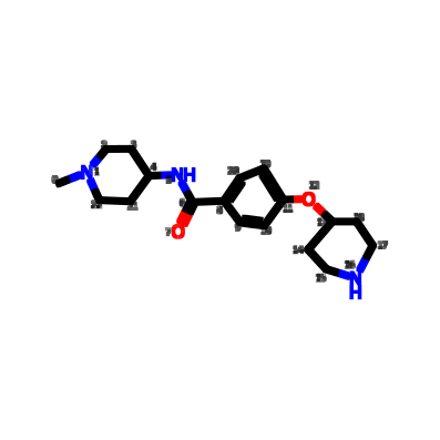 CN1CCC(NC(=O)c2ccc(OC3CCNCC3)cc2)CC1